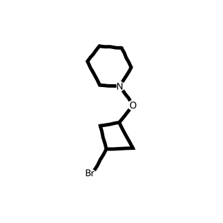 BrC1CC(ON2CCCCC2)C1